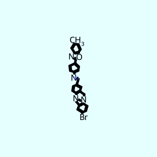 Cc1ccc2oc(-c3ccc(/N=C/c4ccc5c(c4)CN4CN5Cc5cc(Br)ccc54)cc3)nc2c1